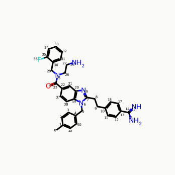 Cc1ccc(Cn2c(CCc3ccc(C(=N)N)cc3)nc3cc(C(=O)N(CCN)Cc4ccccc4F)ccc32)cc1